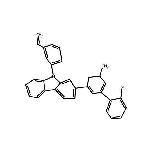 C=Cc1cccc(-n2c3ccccc3c3ccc(C4=CC(c5ccccc5S)=CC(C)C4)cc32)c1